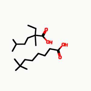 CC(C)(C)CCCCCC(=O)O.CCC(C)(CCC(C)C)C(=O)O